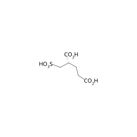 O=C(O)CC[C@H](CS(=O)(=O)O)C(=O)O